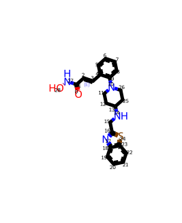 O=C(/C=C/c1ccccc1N1CCC(NCc2nc3ccccc3s2)CC1)NO